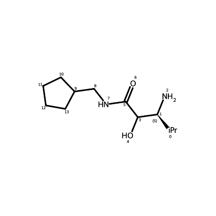 CC(C)[C@H](N)C(O)C(=O)NCC1CCCC1